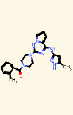 Cc1cc(Nc2nc(N3CCN(C(=O)c4ccccc4C)CC3)nn3cccc23)n[nH]1